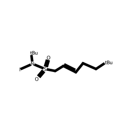 CC(C)(C)CC/C=C/CS(=O)(=O)N(I)C(C)(C)C